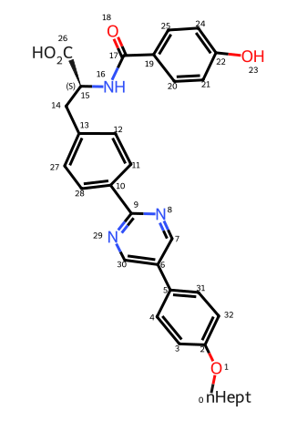 CCCCCCCOc1ccc(-c2cnc(-c3ccc(C[C@H](NC(=O)c4ccc(O)cc4)C(=O)O)cc3)nc2)cc1